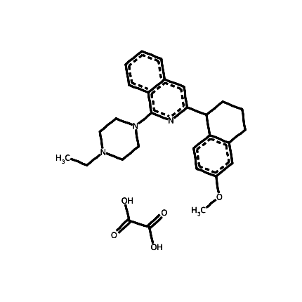 CCN1CCN(c2nc(C3CCCc4cc(OC)ccc43)cc3ccccc23)CC1.O=C(O)C(=O)O